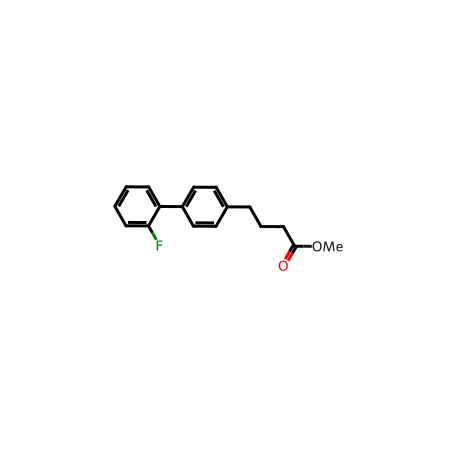 COC(=O)CCCc1ccc(-c2ccccc2F)cc1